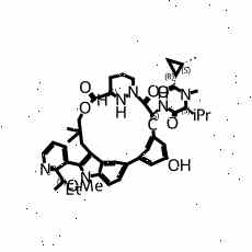 CCn1c(-c2cccnc2[C@H](C)OC)c2c3cc(ccc31)-c1cc(O)cc(c1)C[C@H](NC(=O)[C@H](C(C)C)N(C)C(=O)[C@@H]1C[C@@H]1C)C(=O)N1CCC[C@H](N1)C(=O)OCC(C)(C)C2